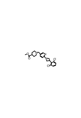 COC(=O)C1CCN(Cc2ccc(N3CC(c4c(Cl)cccc4Cl)C3)nc2)CC1